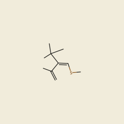 C=C(C)/C(=C\SC)C(C)(C)C